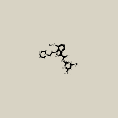 COc1cccc2c(C(=O)Nc3nc(C)cc(C)n3)nn(CCN3CCOCC3)c12